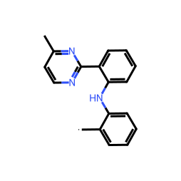 [CH2]c1ccccc1Nc1ccccc1-c1nccc(C)n1